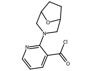 O=C(Cl)c1cccnc1N1CC2CCC(C1)O2